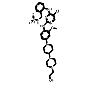 COc1cc(N2CCC(N3CCN(CCO)CC3)CC2)ccc1Nc1ncc(Cl)c(Nc2ccccc2CN[SH](=O)=O)n1